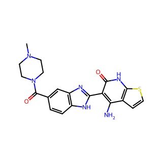 CN1CCN(C(=O)c2ccc3[nH]c(-c4c(N)c5ccsc5[nH]c4=O)nc3c2)CC1